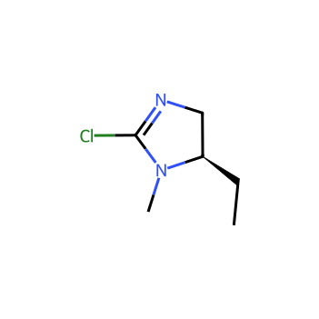 CC[C@@H]1CN=C(Cl)N1C